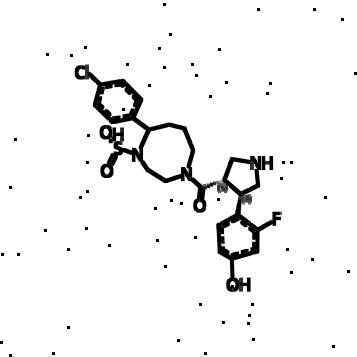 O=C([C@@H]1CNC[C@H]1c1ccc(O)cc1F)N1CCCC(c2ccc(Cl)cc2)N([SH](=O)=O)CC1